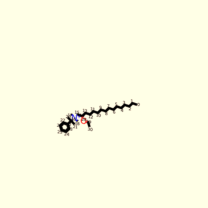 CCCCCCCCCCCCCCC(C[N+](C)(C)C(C)(C)c1ccccc1)OCC